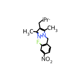 C[C](C)Cc1c(C)nn(Cc2ccc([N+](=O)[O-])cc2F)c1C